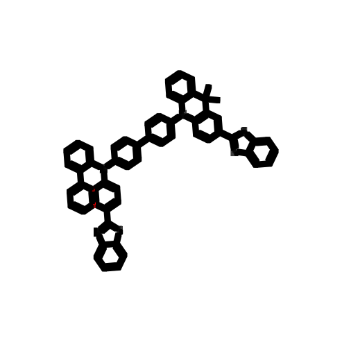 CC1(C)c2ccccc2N(c2ccc(-c3ccc(N(c4ccc(-c5nc6ccccc6s5)cc4)c4ccccc4-c4ccccc4)cc3)cc2)c2ccc(-c3nc4ccccc4s3)cc21